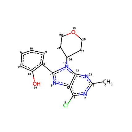 Cc1nc(Cl)c2nc(-c3ccccc3O)n(C3CCOCC3)c2n1